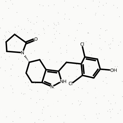 O=C1CCCN1[C@H]1CCc2n[nH]c(Cc3c(Cl)cc(O)cc3Cl)c2C1